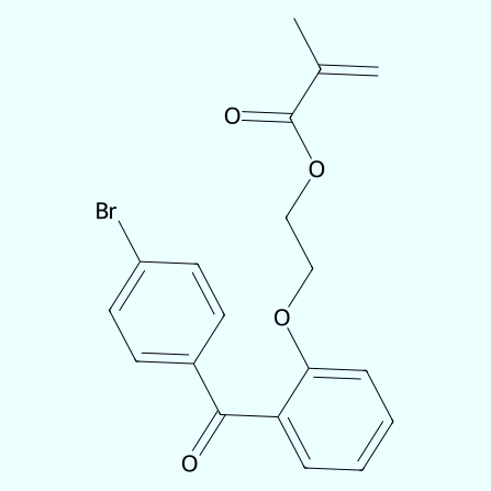 C=C(C)C(=O)OCCOc1ccccc1C(=O)c1ccc(Br)cc1